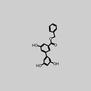 O=C(OCc1ccccc1)c1cc(O)cc(-c2cc(O)cc(O)c2)c1